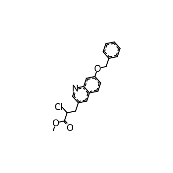 COC(=O)C(Cl)Cc1cnc2cc(OCc3ccccc3)ccc2c1